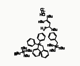 CCCCC(=CC(P)CCCC)CCCC.CCCC[N+](CCCC)(CCCC)CCCC.CCCC[N+](CCCC)(CCCC)Cc1ccccc1.Cl.[Br-].[Cl-].[Cl-].c1ccc(C[P+](c2ccccc2)(c2ccccc2)c2ccccc2)cc1